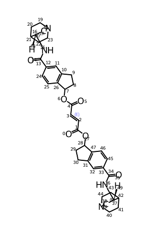 O=C(/C=C/C(=O)OC1CCc2cc(C(=O)N[C@H]3CN4CCC3CC4)ccc21)OC1CCc2cc(C(=O)N[C@H]3CN4CCC3CC4)ccc21